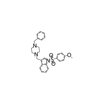 COc1ccc(S(=O)(=O)n2cc(CN3CCN(Cc4ccccc4)CC3)c3ccccc32)cc1